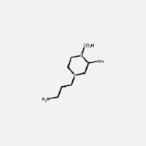 CC(C)(C)C1CN(CCCN)CCN1C(=O)O